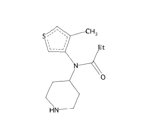 CCC(=O)N(c1cscc1C)C1CCNCC1